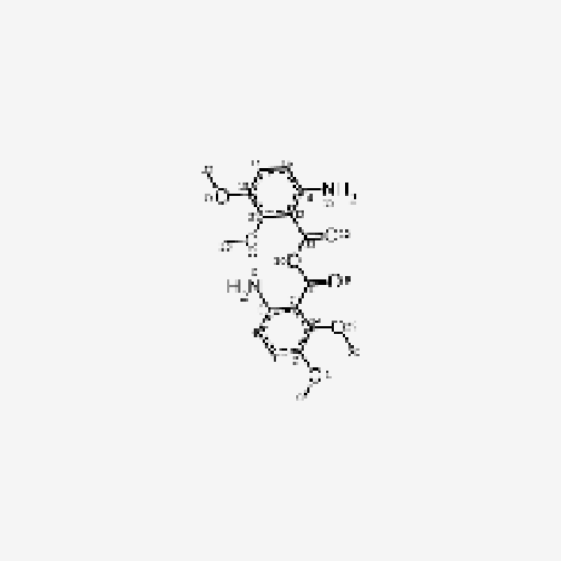 COc1ccc(N)c(C(=O)OC(=O)c2c(N)ccc(OC)c2OC)c1OC